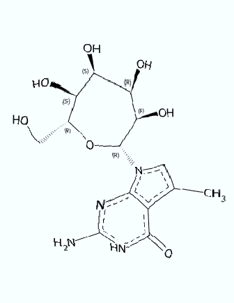 Cc1cn([C@@H]2O[C@H](CO)[C@@H](O)[C@@H](O)[C@@H](O)[C@H]2O)c2nc(N)[nH]c(=O)c12